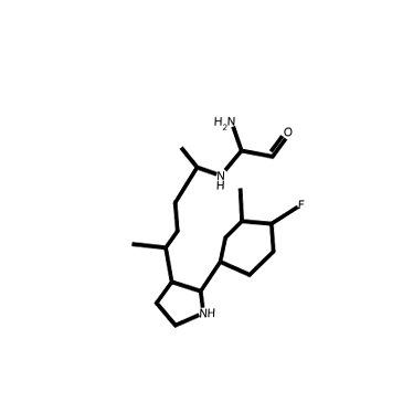 CC(CCC(C)C1CCNC1C1CCC(F)C(C)C1)NC(N)C=O